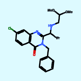 COC(CNC(c1nc2cc(Cl)ccc2c(=O)n1Cc1ccccc1)C(C)C)OC